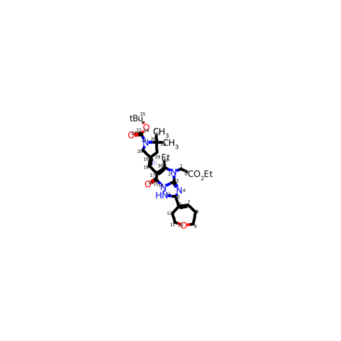 CCOC(=O)CN1C2=NC(C3=CCCOCC3)NN2C(=O)C(/C=C2/CN(C(=O)OC(C)(C)C)C(C)(C)C2)=C1CC